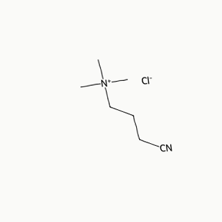 C[N+](C)(C)CCCC#N.[Cl-]